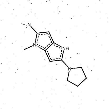 Cn1c(N)cc2[nH]c(N3CCCC3)cc21